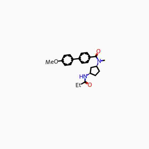 CCC(=O)N[C@@H]1CC[C@H](N(C)C(=O)c2ccc(-c3ccc(OC)cc3)cc2)C1